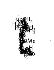 COCCN(CC1CCN(c2ncc(C(=O)NC3C(C)(C)C(Oc4cc(C)c(C#N)c(C)c4)C3(C)C)cn2)CC1)C1CC(Oc2ccc3c(c2)C(=O)N([C@@H]2CCC(=O)NC2=O)C3=O)C1